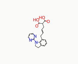 O=C(O)C(CC=CCc1cccc2c1N(c1ncccn1)CC2)C(=O)O